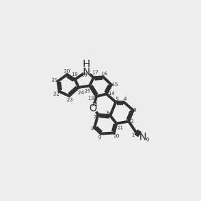 N#Cc1ccc2c3c(cccc13)Oc1c-2ccc2[nH]c3ccccc3c12